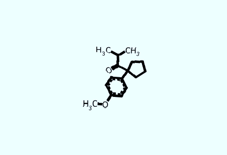 COc1ccc(C2(C(=O)C(C)C)CCCC2)cc1